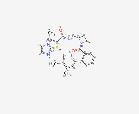 Cc1ccc(-c2ccccc2C(=O)N2CCC2CNC(=O)c2sc3nccn3c2C)cc1C